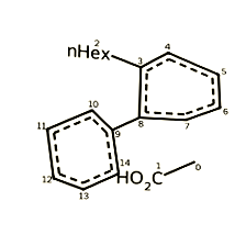 CC(=O)O.CCCCCCc1ccccc1-c1ccccc1